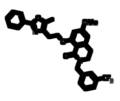 COc1cc2c(c(OCCc3nc(-c4ccccc4)oc3C)c1)C(=O)N(Cc1cccc(C(F)(F)F)c1)CC2